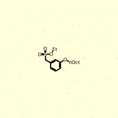 CCCCCCCCOc1cccc(CS(=O)(=O)OCC)c1